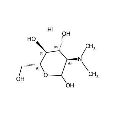 CN(C)[C@H]1C(O)O[C@H](CO)[C@@H](O)[C@@H]1O.I